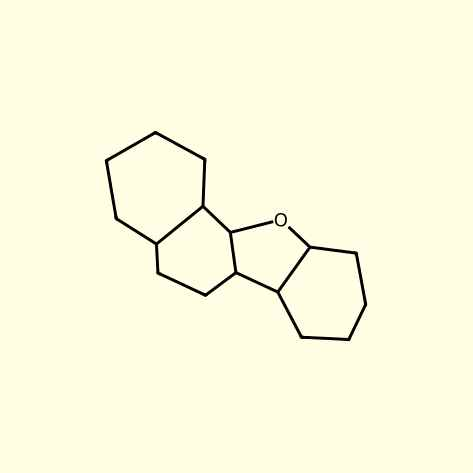 C1CCC2C(C1)CCC1C3CCCCC3OC21